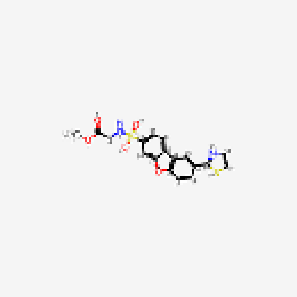 COC(=O)CNS(=O)(=O)c1ccc2c(c1)oc1ccc(-c3nccs3)cc12